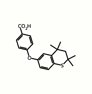 CC1(C)CC(C)(C)c2cc(Oc3ccc(C(=O)O)cc3)ccc2S1